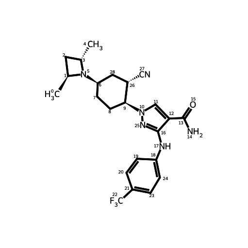 C[C@H]1C[C@H](C)N1[C@@H]1CC[C@H](n2cc(C(N)=O)c(Nc3ccc(C(F)(F)F)cc3)n2)[C@@H](C#N)C1